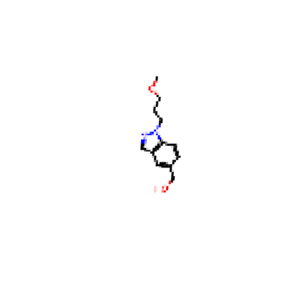 COCCCn1ncc2cc(CO)ccc21